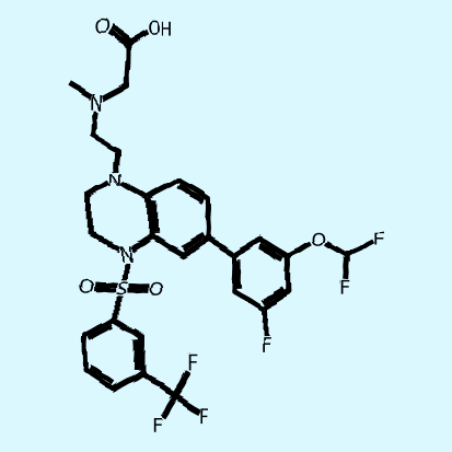 CN(CCN1CCN(S(=O)(=O)c2cccc(C(F)(F)F)c2)c2cc(-c3cc(F)cc(OC(F)F)c3)ccc21)CC(=O)O